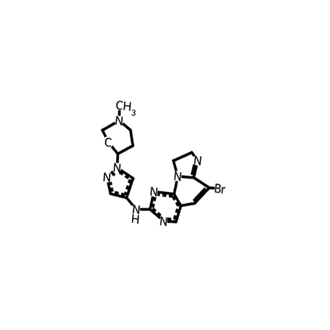 CN1CCC(n2cc(Nc3ncc4c(n3)N3CCN=C3C(Br)=C4)cn2)CC1